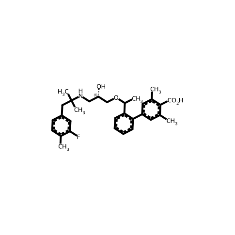 Cc1ccc(CC(C)(C)NC[C@H](O)COC(C)c2ccccc2-c2cc(C)c(C(=O)O)c(C)c2)cc1F